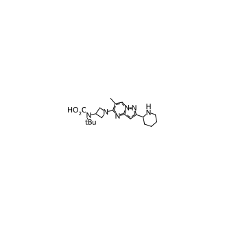 Cc1cn2nc(C3CCCCN3)cc2nc1N1CC(N(C(=O)O)C(C)(C)C)C1